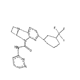 O=C(Nc1cccnn1)N1c2nc(C3CCCC(C(F)(F)F)C3)ccc2N2CCC21